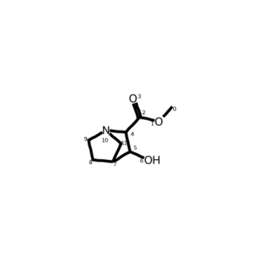 COC(=O)C1C(O)C2CCN1C2